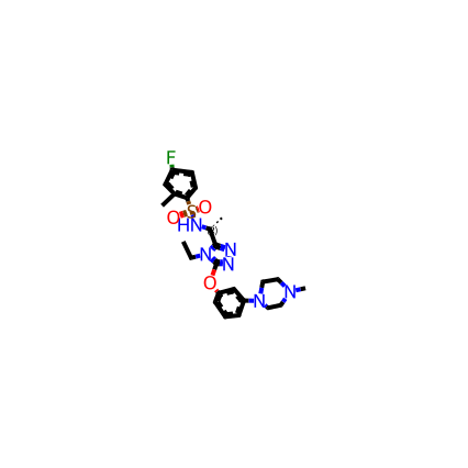 CCn1c(Oc2cccc(N3CCN(C)CC3)c2)nnc1[C@@H](C)NS(=O)(=O)c1ccc(F)cc1C